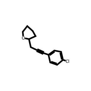 Clc1ccc(C#CCC2CCCCO2)cc1